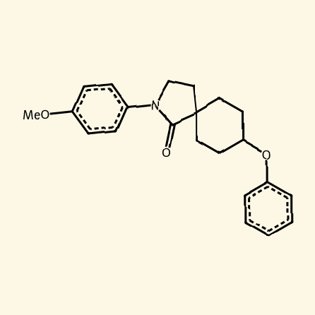 COc1ccc(N2CCC3(CCC(Oc4ccccc4)CC3)C2=O)cc1